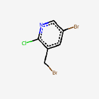 Clc1ncc(Br)cc1CBr